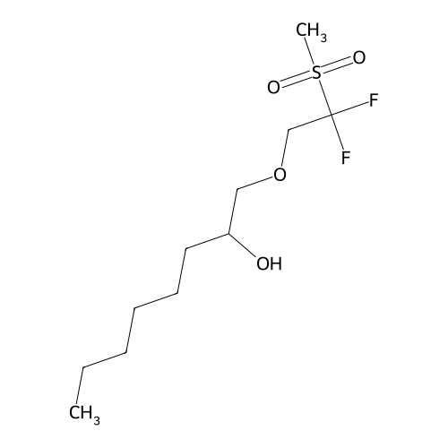 CCCCCCC(O)COCC(F)(F)S(C)(=O)=O